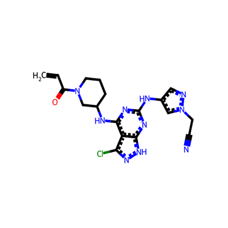 C=CC(=O)N1CCCC(Nc2nc(Nc3cnn(CC#N)c3)nc3[nH]nc(Cl)c23)C1